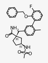 Cc1ccc(C[C@]2(C(N)=O)CC[C@H](NS(C)(=O)=O)C2)cc1-c1cccc(F)c1OCc1ccccc1